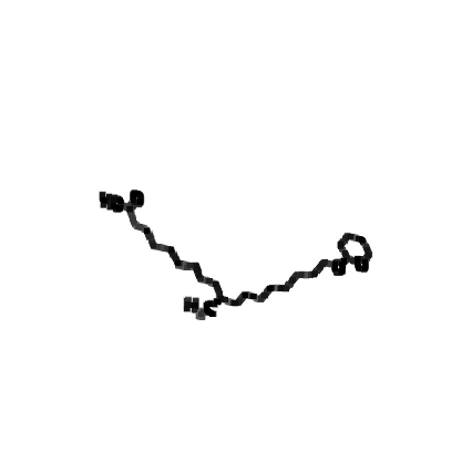 C[C@@H](CCC=CCCCCC(=O)O)CCCCCCCCO[C@H]1CCCCO1